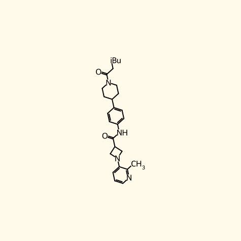 CCC(C)CC(=O)N1CCC(c2ccc(NC(=O)C3CN(c4cccnc4C)C3)cc2)CC1